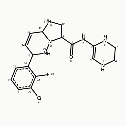 O=C(NC1=CNCCN1)C1CNC2C=CC(c3cccc(Cl)c3F)NN21